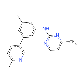 Cc1cc(Nc2nccc(C(F)(F)F)n2)cc(-c2ccc(C)nc2)c1